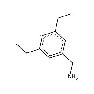 CCc1[c]c(CC)cc(CN)c1